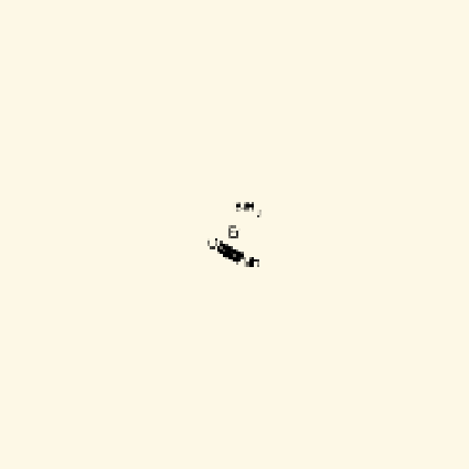 [BiH3].[Er].[O]=[Nb]